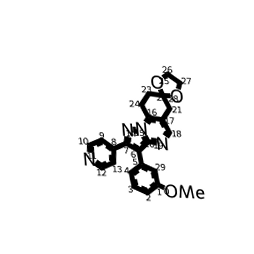 COc1cccc(-c2c(-c3ccncc3)nn3c4c(cnc23)CC2(CC4)OCCO2)c1